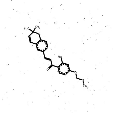 COCOc1ccc(C(=O)/C=C/c2ccc3c(c2)C=CC(C)(C)O3)c(O)c1